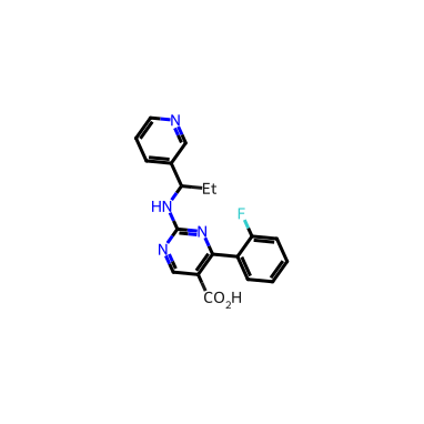 CCC(Nc1ncc(C(=O)O)c(-c2ccccc2F)n1)c1cccnc1